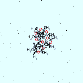 C[SiH](O[Si](C)(C)C)O[Si](C)(C)O[Si](C)(C)O[Si](C)(C)O[Si](C)(C)O[Si](C)(C)O[Si](C)(C)O[Si](C)(C)O[Si](C)(C)C